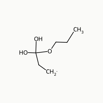 [CH2]CC(O)(O)OCCC